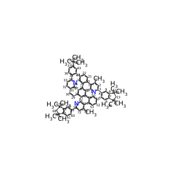 Cc1cc(-c2ccc3c(c2)C(C)(C)CC3(C)C)ncc1-c1ccccc1-c1cc(/C=C\c2ccc(-c3ccc(C(C)(C)C)cc3)nc2)cc(-c2ccccc2-c2cnc(-c3ccc4c(c3)C(C)(C)CC4(C)C)cc2C)c1